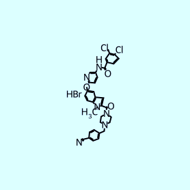 Br.Cn1c(C(=O)N2CCN(Cc3ccc(C#N)cc3)CC2)cc2cc(Oc3ccc(NC(=O)c4ccc(Cl)c(Cl)c4)cn3)ccc21